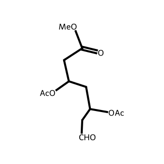 COC(=O)CC(CC(CC=O)OC(C)=O)OC(C)=O